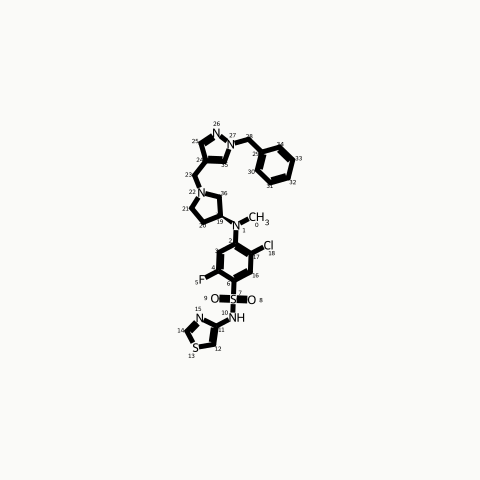 CN(c1cc(F)c(S(=O)(=O)Nc2cscn2)cc1Cl)[C@H]1CCN(Cc2cnn(Cc3ccccc3)c2)C1